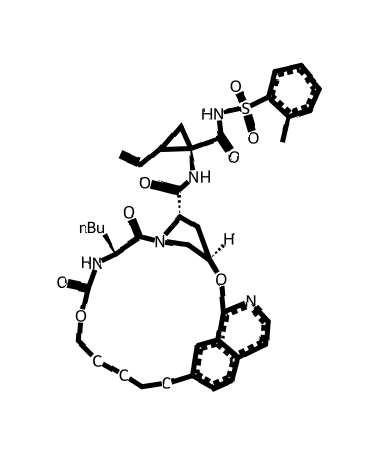 C=CC1C[C@]1(NC(=O)[C@@H]1C[C@@H]2CN1C(=O)[C@H](CCCC)NC(=O)OCCCCCc1ccc3ccnc(c3c1)O2)C(=O)NS(=O)(=O)c1ccccc1C